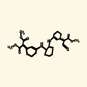 COC(=O)C(C(=O)OC)=C1C=C(NC2CCCCC2NC2=C/C(=C(\C=O)C(=O)OC)CCC2)CCC1